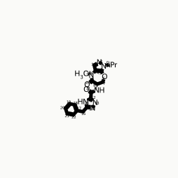 CC(C)n1ncc2c1OC[C@H](NC(=O)c1nnc(Cc3ccccc3)[nH]1)C(=O)N2C